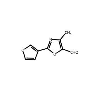 Cc1nc(-c2ccoc2)oc1C=O